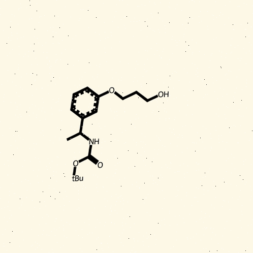 CC(NC(=O)OC(C)(C)C)c1cccc(OCCCO)c1